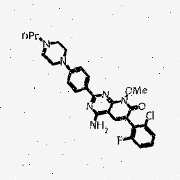 CCCN1CCN(c2ccc(-c3nc(N)c4cc(-c5c(F)cccc5Cl)c(=O)n(OC)c4n3)cc2)CC1